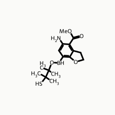 COC(=O)c1c(N)cc(BOC(C)(C)C(C)(C)S)c2c1CCO2